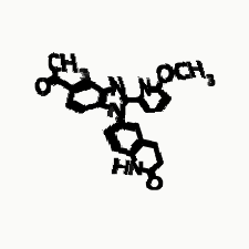 COc1cccc(-c2nc3cc(C(C)=O)ccc3n2-c2ccc3c(c2)CCC(=O)N3)n1